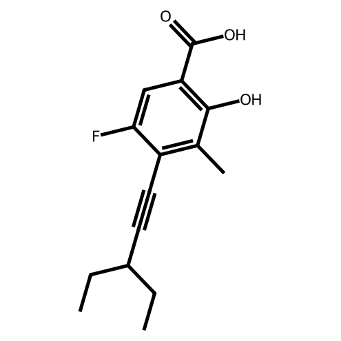 CCC(C#Cc1c(F)cc(C(=O)O)c(O)c1C)CC